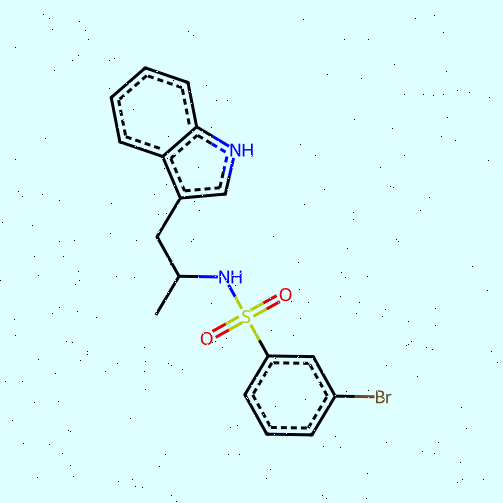 CC(Cc1c[nH]c2ccccc12)NS(=O)(=O)c1cccc(Br)c1